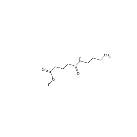 CCCCNC(=O)CCCC(=O)OI